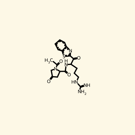 CC(=O)N1CC(=O)CC1C(=O)NC(CCCNC(=N)N)C(=O)c1nc2ccccc2s1